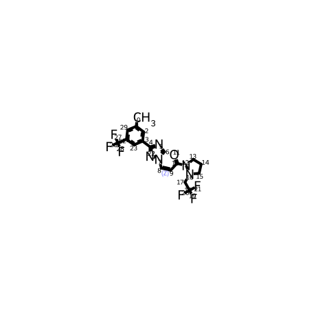 Cc1cc(-c2ncn(/C=C\C(=O)N3CCCN3CC(F)(F)F)n2)cc(C(F)(F)F)c1